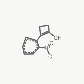 O=[N+]([O-])c1ccccc1C1=C(O)CC1